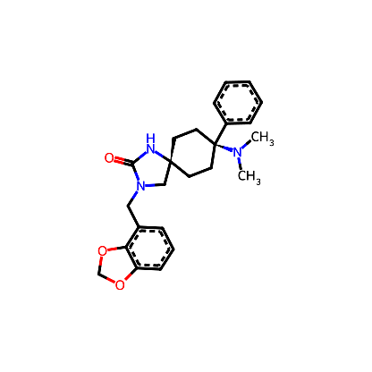 CN(C)[C@]1(c2ccccc2)CC[C@@]2(CC1)CN(Cc1cccc3c1OCO3)C(=O)N2